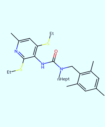 CCCCCCCN(Cc1c(C)cc(C)cc1C)C(=O)Nc1c(SCC)cc(C)nc1SCC